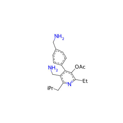 CCc1nc(CC(C)C)c(CN)c(-c2ccc(CN)cc2)c1OC(C)=O